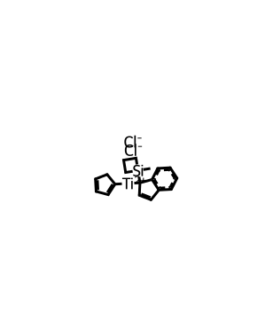 C[Si]1([C]2([Ti+2][C]3=CC=CC3)C=Cc3ccccc32)CCC1.[Cl-].[Cl-]